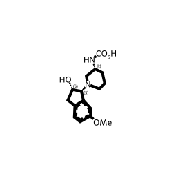 COc1ccc2c(c1)[C@H](N1CCC[C@@H](NC(=O)O)C1)[C@@H](O)C2